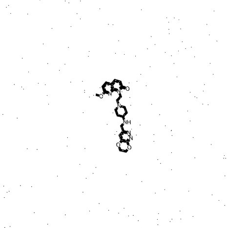 COc1ccc2ccc(=O)n(CCN3CCC(NCc4cc5c(nn4)OCCO5)CC3)c2n1